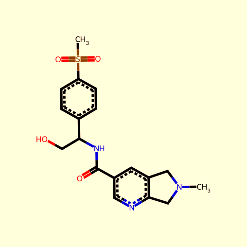 CN1Cc2cc(C(=O)NC(CO)c3ccc(S(C)(=O)=O)cc3)cnc2C1